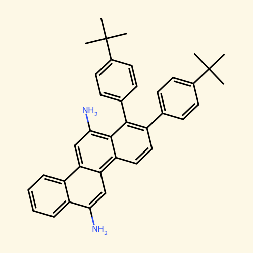 CC(C)(C)c1ccc(-c2ccc3c(c(N)cc4c5ccccc5c(N)cc34)c2-c2ccc(C(C)(C)C)cc2)cc1